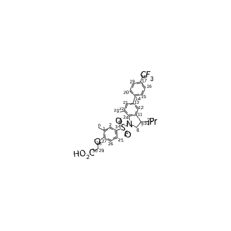 Cc1cc(S(=O)(=O)N2CC(C(C)C)c3cc(-c4ccc(C(F)(F)F)cc4)cc(C)c32)ccc1OCC(=O)O